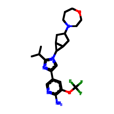 CC(C)c1nc(-c2cnc(N)c(OC(F)(F)F)c2)cn1C1C2CC(N3CCCOCC3)CC21